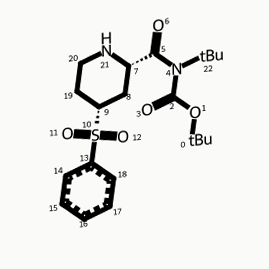 CC(C)(C)OC(=O)N(C(=O)[C@@H]1C[C@H](S(=O)(=O)c2ccccc2)CCN1)C(C)(C)C